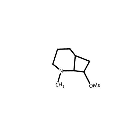 COC1CC2CCCN(C)C21